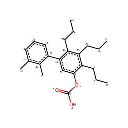 CCCc1c(OC(=O)O)cc(-c2cccc(C)c2C)c(CCC)c1CCC